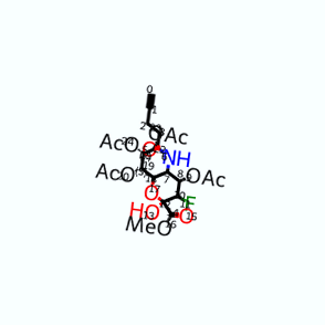 C#CCCC(=O)NC1C(OC(C)=O)C(F)C(O)(C(=O)OC)OC1[C@H](OC(C)=O)[C@@H](COC(C)=O)OC(C)=O